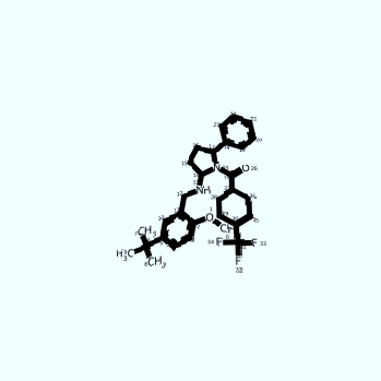 COc1ccc(C(C)(C)C)cc1CNC1CCC(c2ccccc2)N1C(=O)C1CCC(C(F)(F)F)CC1